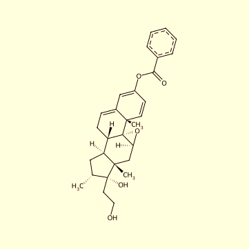 C[C@@H]1C[C@H]2[C@@H]3CC=C4C=C(OC(=O)c5ccccc5)C=C[C@]4(C)[C@]34O[C@H]4C[C@]2(C)[C@@]1(O)CCO